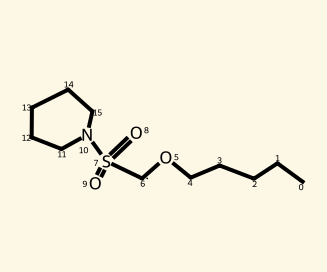 CCCCCO[CH]S(=O)(=O)N1CCCCC1